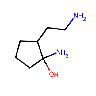 NCCC1CCCC1(N)O